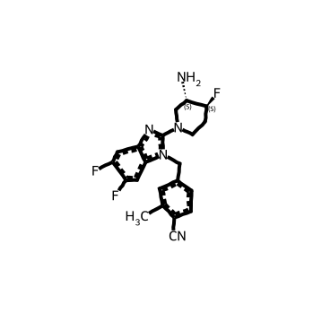 Cc1cc(Cn2c(N3CC[C@H](F)[C@@H](N)C3)nc3cc(F)c(F)cc32)ccc1C#N